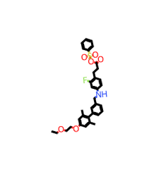 CCOCCOc1cc(C)c(-c2cccc(CNc3ccc(CCC(=O)OS(=O)(=O)c4ccccc4)c(F)c3)c2)c(C)c1